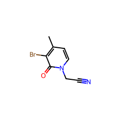 Cc1ccn(CC#N)c(=O)c1Br